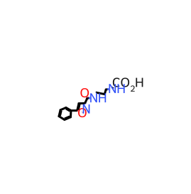 O=C(O)NCCCNC(=O)c1cc(-c2ccccc2)on1